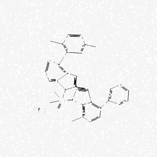 CC1=Cc2c(-c3ccccc3)ccc(C)c2[CH]1[Zr]([CH3])([CH3])(=[SiH2])[CH]1C(C(C)C)=Cc2c(-c3cc(C)ccc3C)cccc21.Cl.Cl